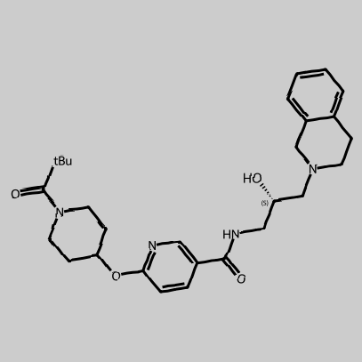 CC(C)(C)C(=O)N1CCC(Oc2ccc(C(=O)NC[C@H](O)CN3CCc4ccccc4C3)cn2)CC1